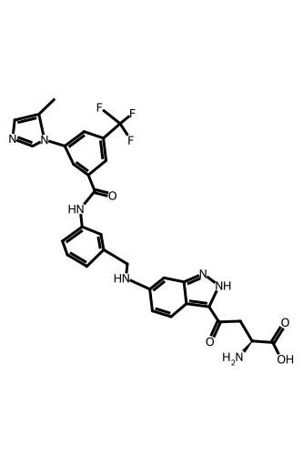 Cc1cncn1-c1cc(C(=O)Nc2cccc(CNc3ccc4c(C(=O)C[C@H](N)C(=O)O)[nH]nc4c3)c2)cc(C(F)(F)F)c1